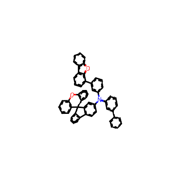 c1ccc(-c2cccc(N(c3cccc(-c4cccc5c4oc4ccccc45)c3)c3ccc4c(c3)C3(c5ccccc5Oc5ccccc53)c3ccccc3-4)c2)cc1